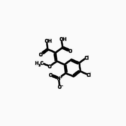 COC(=C(C(=O)O)C(=O)O)c1cc(Cl)c(Cl)cc1[N+](=O)[O-]